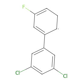 FC1=CC[CH]C(c2cc(Cl)cc(Cl)c2)=C1